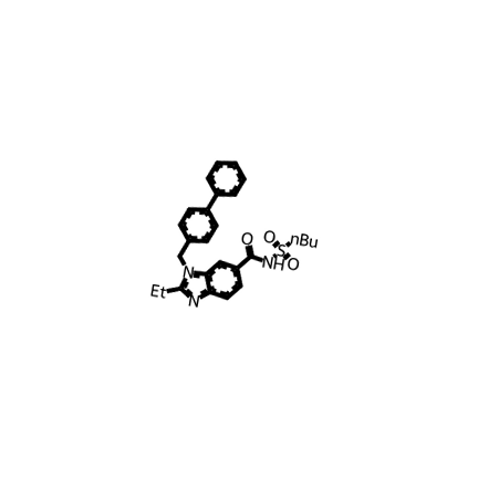 CCCCS(=O)(=O)NC(=O)c1ccc2nc(CC)n(Cc3ccc(-c4ccccc4)cc3)c2c1